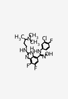 CC(CCNc1nc2c(F)c(F)cc(/C(=N/O)Nc3ccc(F)c(Cl)c3)c2[nH]1)N(C)C